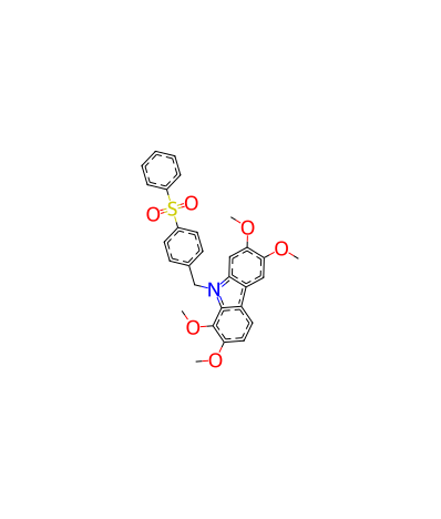 COc1cc2c3ccc(OC)c(OC)c3n(Cc3ccc(S(=O)(=O)c4ccccc4)cc3)c2cc1OC